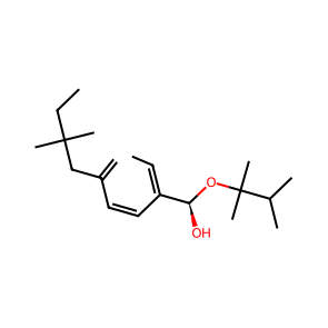 C=C(/C=C\C(=C/C)[C@H](O)OC(C)(C)C(C)C)CC(C)(C)CC